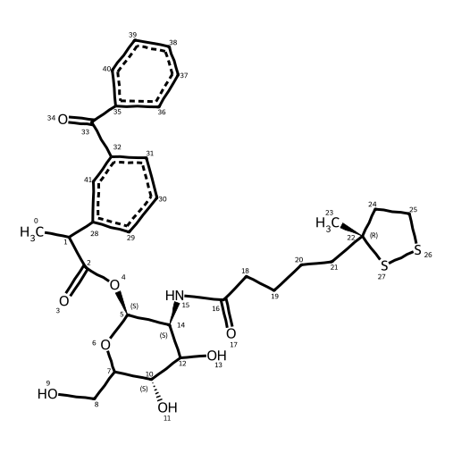 CC(C(=O)O[C@@H]1OC(CO)[C@@H](O)C(O)[C@@H]1NC(=O)CCCC[C@]1(C)CCSS1)c1cccc(C(=O)c2ccccc2)c1